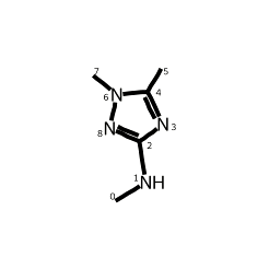 CNc1nc(C)n(C)n1